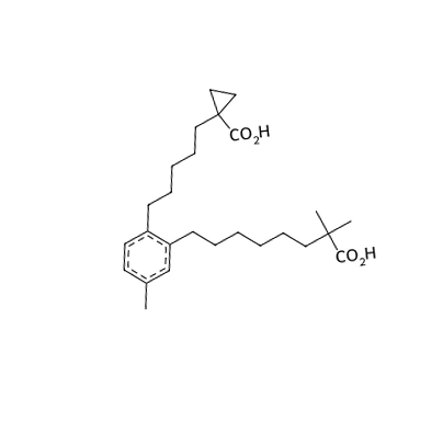 Cc1ccc(CCCCCC2(C(=O)O)CC2)c(CCCCCCC(C)(C)C(=O)O)c1